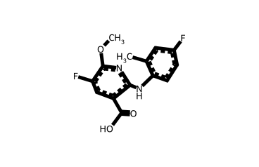 COc1nc(Nc2ccc(F)cc2C)c(C(=O)O)cc1F